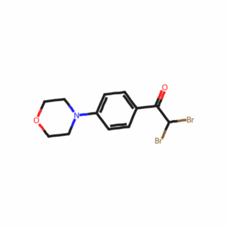 O=C(c1ccc(N2CCOCC2)cc1)C(Br)Br